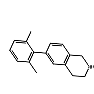 Cc1cccc(C)c1-c1ccc2c(c1)CCNC2